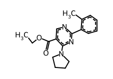 CCOC(=O)c1cnc(-c2ccccc2C)nc1N1CCCC1